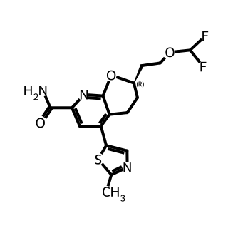 Cc1ncc(-c2cc(C(N)=O)nc3c2CC[C@H](CCOC(F)F)O3)s1